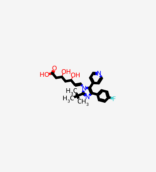 CC(C)(C)c1nc(-c2ccc(F)cc2)c(-c2ccncc2)n1/C=C/[C@@H](O)C[C@@H](O)CC(=O)O